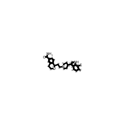 NC(=O)c1ccc2c(c1)CCOC2CCN1CCC(c2c[nH]c3c(F)c(F)ccc23)CC1